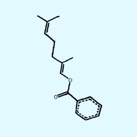 CC(C)=CCC/C(C)=C/OC(=O)c1ccccc1